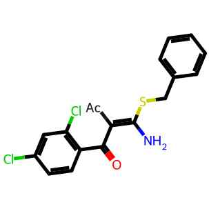 CC(=O)C(C(=O)c1ccc(Cl)cc1Cl)=C(N)SCc1ccccc1